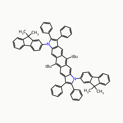 CC(C)(C)c1c2cc3c(-c4ccccc4)c(-c4ccccc4)n(-c4ccc5c(c4)C(C)(C)c4ccccc4-5)c3cc2c(C(C)(C)C)c2cc3c(-c4ccccc4)c(-c4ccccc4)n(-c4ccc5c(c4)C(C)(C)c4ccccc4-5)c3cc12